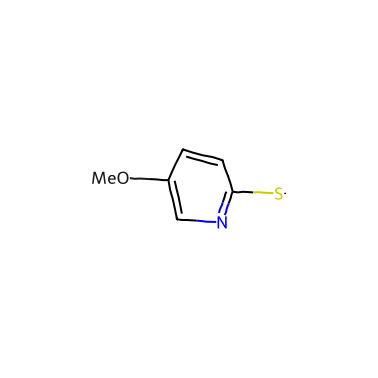 COc1ccc([S])nc1